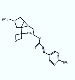 CC1(C23CN(C(=O)O)CC2C3CCNC(=O)/C=C/c2ccc(N)nc2)COC1